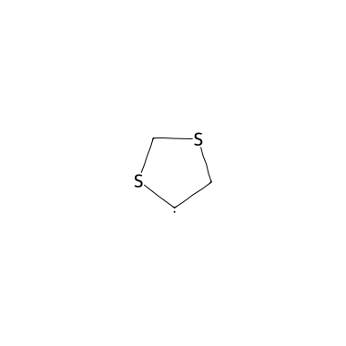 [CH]1CSCS1